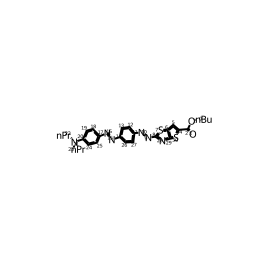 CCCCOC(=O)c1cc2sc(N=Nc3ccc(N=Nc4ccc(N(CCC)CCC)cc4)cc3)nc2s1